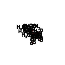 CC(=O)O[C@H]1C(C)O[C@@H](C)[C@H](O[C@@H]2OC(C)[C@H](O[C@@H]3OC[C@@H](C)C(O[C@@H]4OC[C@]5(COCc6ccccc6)O[C@@H](c6ccccc6)OC45)[C@H]3OCc3ccccc3)C(O[C@@H]3OC(COCc4ccccc4)[C@@H](OCc4ccccc4)C(OCc4ccccc4)[C@H]3C)[C@@H]2C)C1O[C@@H]1OC(C)[C@H](C)[C@@H]2OC(C)(C)OC12